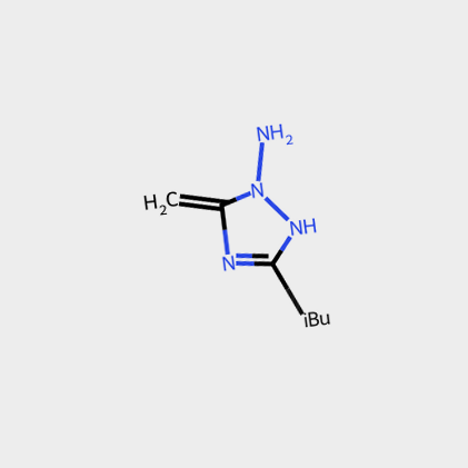 C=C1N=C(C(C)CC)NN1N